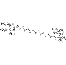 CC1(C)CC(CCCCCCCCCCCCCOC(=O)CC(C(=O)O)C(CC(=O)O)C(=O)O)CC(C)(C)N1